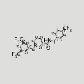 O=C(NCc1ccc(C(F)(F)F)cc1)C1=CCCN(Cc2cc(C(F)(F)F)cc(C(F)(F)F)c2)C1